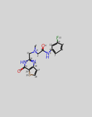 CN(CC(=O)Nc1cccc(F)c1)Cc1nc2ccsc2c(=O)[nH]1